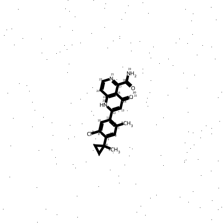 Cc1cc(C2(C)CC2)c(Cl)cc1-c1cc(=O)c2c(C(N)=O)nccc2[nH]1